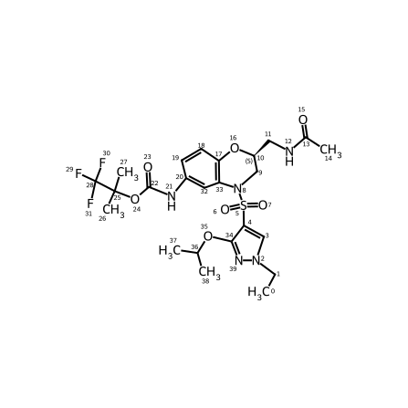 CCn1cc(S(=O)(=O)N2C[C@H](CNC(C)=O)Oc3ccc(NC(=O)OC(C)(C)C(F)(F)F)cc32)c(OC(C)C)n1